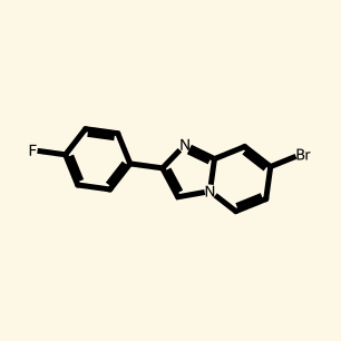 Fc1ccc(-c2cn3ccc(Br)cc3n2)cc1